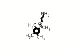 CB(OCCCN)c1cc(C)c(C)cc1C